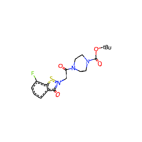 CC(C)(C)OC(=O)N1CCN(C(=O)Cn2sc3c(F)cccc3c2=O)CC1